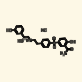 Cl.NC(=O)c1cc(S(=O)(=O)c2ccc(CCNC[C@H](O)c3cccc(O)c3)cc2)ccc1O